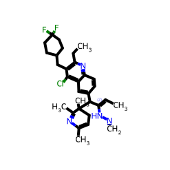 C=NN/C(=C\C)C(c1ccc2nc(CC)c(CC3CCC(F)(F)CC3)c(Cl)c2c1)C1(C)CC=C(C)N=C1C